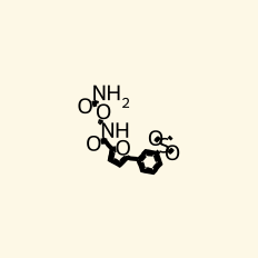 CS(=O)(=O)c1cccc(-c2ccc(C(=O)NCOC(N)=O)o2)c1